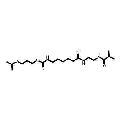 CC(C)OCCCOC(=O)NCCCCCC(=O)NCCNC(=O)C(C)C